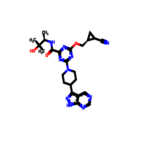 C[C@@H](NC(=O)c1nc(OC[C@H]2CC2C#N)nc(N2CCC(c3n[nH]c4ncncc34)CC2)n1)C(C)(C)O